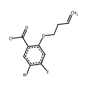 C=CCCOc1cc(F)c(Br)cc1C(=O)Cl